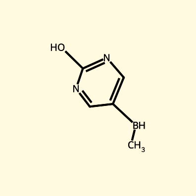 CBc1cnc(O)nc1